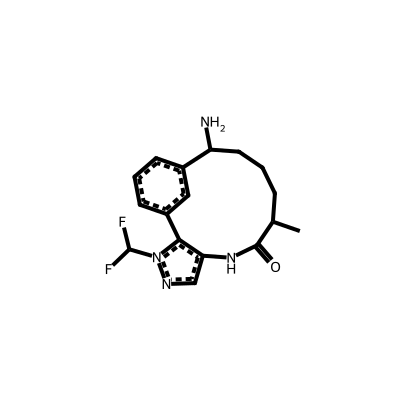 CC1CCCC(N)c2cccc(c2)-c2c(cnn2C(F)F)NC1=O